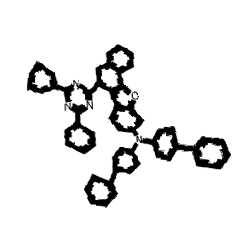 c1ccc(-c2ccc(N(c3ccc(-c4ccccc4)cc3)c3ccc4c(c3)oc3c5ccccc5cc(-c5nc(-c6ccccc6)nc(-c6ccccc6)n5)c43)cc2)cc1